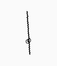 CCCCCCCCCCCCCCCCCCCCCCCCCCCCCOC(=O)CCCCCCCCCCCCC